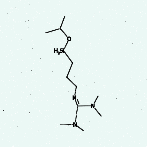 CC(C)O[SiH2]CCCN=C(N(C)C)N(C)C